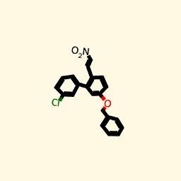 O=[N+]([O-])C=Cc1ccc(OCc2ccccc2)cc1-c1cccc(Cl)c1